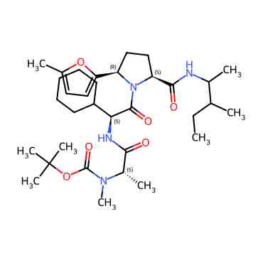 CCC(C)C(C)NC(=O)[C@@H]1CC[C@H](c2ccc(C)o2)N1C(=O)[C@@H](NC(=O)[C@H](C)N(C)C(=O)OC(C)(C)C)C1CCCCC1